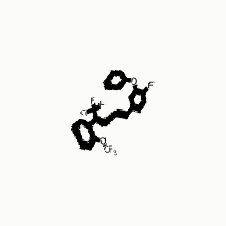 Fc1ccc(C=CC=C(c2ccccc2OC(F)(F)F)C(F)(F)Cl)cc1Oc1ccccc1